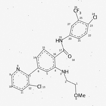 COCCNc1cc(-c2ncccc2Cl)ccc1C(=O)Nc1ccc(Cl)c(C(F)(F)F)c1